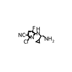 N#Cc1cc(F)c(N[C@@H](CN)C2CC2)nc1Cl